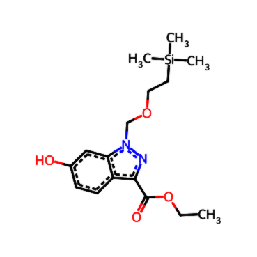 CCOC(=O)c1nn(COCC[Si](C)(C)C)c2cc(O)ccc12